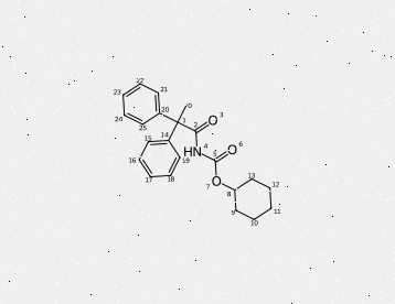 CC(C(=O)NC(=O)OC1CCCCC1)(c1ccccc1)c1ccccc1